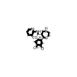 O=C(O)c1cccnc1NC[C@@H]1CNCCO[C@H]1c1ccc(Cl)c(Cl)c1